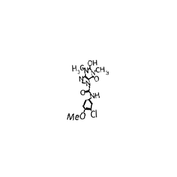 COc1ccc(NC(=O)Cn2cnc3c2C(=O)N(C)C(O)N3C)cc1Cl